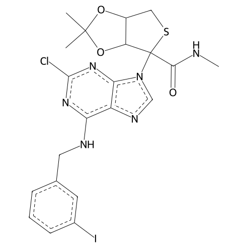 CNC(=O)C1(n2cnc3c(NCc4cccc(I)c4)nc(Cl)nc32)SCC2OC(C)(C)OC21